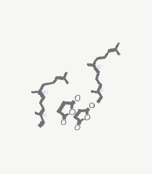 C=C/C(C)=C/C/C=C(\C)CCC=C(C)C.C=C/C(C)=C/C/C=C(\C)CCC=C(C)C.O=C1C=CC(=O)O1.O=C1C=CC(=O)O1